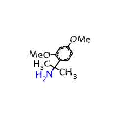 COc1ccc(C(C)(C)N)c(OC)c1